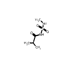 CNS(=O)(=O)NC(=O)C(C)C